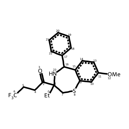 CCC1(C(=O)CCC(F)(F)F)CSc2cc(OC)ccc2C(c2ccccc2)N1